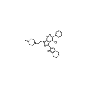 CN1CCN(CCn2nc(-c3cc4c([nH]3)CCC=C4)c3c(Cl)c(-c4ccccc4)nnc32)CC1